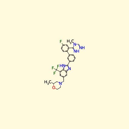 CC1CN(Cc2cc(C(F)(F)F)c3[nH]c(-c4cccc(-c5ccc(F)cc5C(=N)N(C)C=N)c4)nc3c2)CCO1